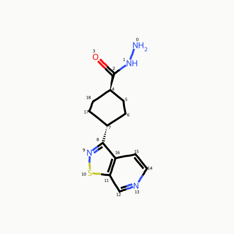 NNC(=O)[C@H]1CC[C@H](c2nsc3cnccc32)CC1